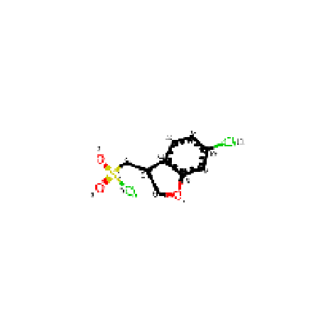 O=S(=O)(Cl)CC1COc2cc(Cl)ccc21